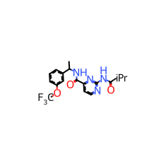 CC(C)C(=O)Nc1nccc(C(=O)NC(C)c2cccc(OC(F)(F)F)c2)n1